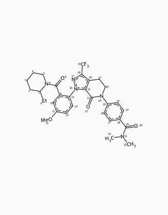 CCC1CCCCN1C(=O)c1cc(OC)ccc1-n1nc(C(F)(F)F)c2c1C(=O)N(c1ccc(C(=O)N(C)C)cc1)CC2